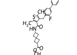 COC(=O)C1CC2(CC(NC(=O)c3c(C)sc(C)c3Cc3ccc(-c4ccccc4)cc3F)C2)C1